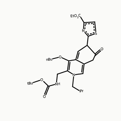 CCCCOC1=C(CNC(=O)OC(C)(C)C)N(CC(C)C)C=C2CC(=O)C(c3nc(C(=O)OCC)cs3)C=C21